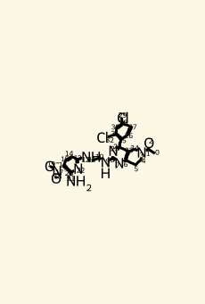 CC(=O)N1CCc2nc(NCCNc3ccc([N+](=O)[O-])c(N)n3)nc(-c3ccc(Cl)cc3Cl)c2C1